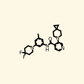 Cc1cc(NC(=O)c2ccncc2N2CCC3(CC2)CC3)cc(N2CCC(F)(F)CC2)c1